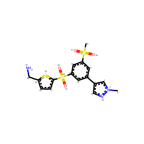 Cn1cc(-c2cc(S(C)(=O)=O)cc(S(=O)(=O)c3ccc(CN)s3)c2)cn1